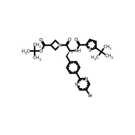 CC(C)(C)OC(=O)C1CN(C(=O)[C@H](Cc2ccc(-c3ncc(Br)cn3)cc2)NC(=O)c2ccc(C(C)(C)C)s2)C1